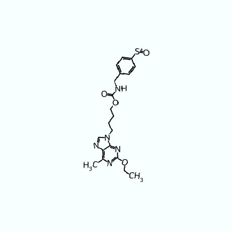 CCOc1nc(C)c2ncn(CCCCOC(=O)NCc3ccc([S+]=O)cc3)c2n1